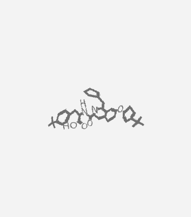 CC(C)(C)c1ccc(CC(NC(=O)c2cc3ccc(Oc4ccc(C(C)(C)C)cc4)cc3c(CC3CCCC3)n2)C(=O)O)cc1